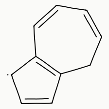 [CH]1C=CC2=C1C=CC=CC2